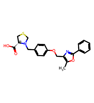 Cc1oc(-c2ccccc2)nc1COc1ccc(CN2CSC[C@H]2C(=O)O)cc1